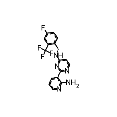 Nc1ncccc1-c1nccc(NCc2ccc(F)cc2C(F)(F)F)n1